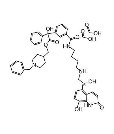 O=C(NCCCCNC[C@H](O)c1ccc(O)c2[nH]c(=O)ccc12)c1cccc(C(O)(C(=O)OCC2CCN(Cc3ccccc3)CC2)c2ccccc2)c1.O=CO.O=CO